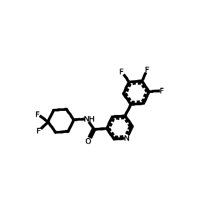 O=C(NC1CCC(F)(F)CC1)c1cncc(-c2cc(F)c(F)c(F)c2)c1